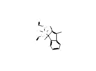 CC1=C(C)[C](C)([Ti]([Cl])([Cl])([NH]C=O)[NH]C=O)c2ccccc21